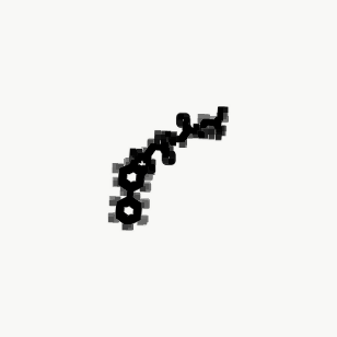 O=C(CNC(=O)Cc1nc2ccc(-c3ccccc3)cc2s1)NCC(F)F